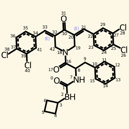 O=C(BC1CCC1)NC(Cc1ccccc1)C(=O)N1C/C(=C\c2ccc(Cl)c(Cl)c2)C(=O)/C(=C/c2ccc(Cl)c(Cl)c2)C1